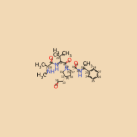 CN[C@@H](C)C(=O)N[C@H](C(=O)N1C[C@@H](CC=O)C[C@H]1C(=O)N[C@H](C)c1ccccc1)C(C)C